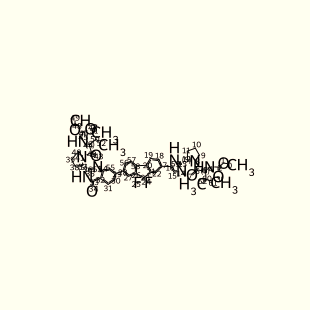 COC(=O)N[C@H](C(=O)N1CCC[C@H]1c1ncc(-c2ccc3c(c2)C(F)(F)c2cc(-c4ccc5c(=O)[nH]c([C@@H]6CCCN6C(=O)[C@@H](NC(=O)OC)C(C)C)nc5c4)ccc2-3)[nH]1)C(C)C